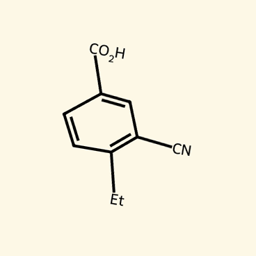 CCc1ccc(C(=O)O)cc1C#N